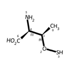 C[C@@H](OS)[C@H](N)C(=O)O